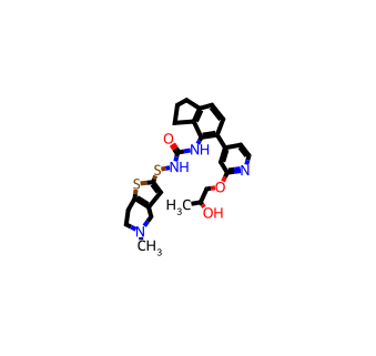 CC(O)COc1cc(-c2ccc3c(c2NC(=O)NSc2cc4c(s2)CCN(C)C4)CCC3)ccn1